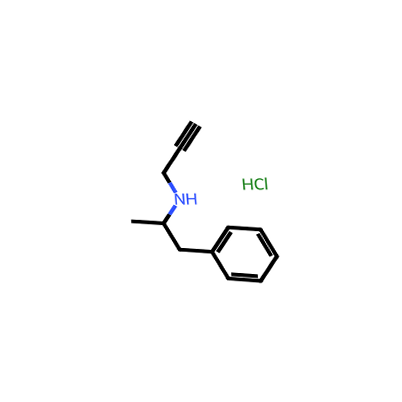 C#CCNC(C)Cc1ccccc1.Cl